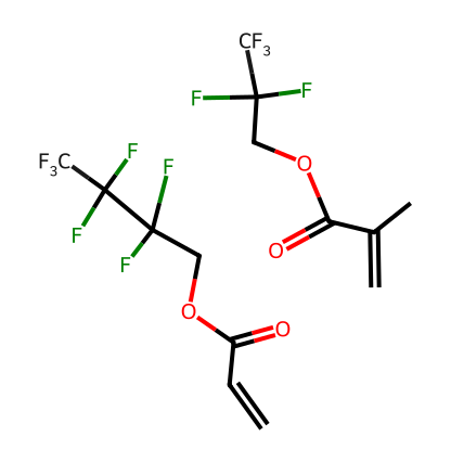 C=C(C)C(=O)OCC(F)(F)C(F)(F)F.C=CC(=O)OCC(F)(F)C(F)(F)C(F)(F)F